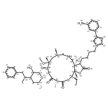 CC[C@H]1OC(=O)[C@H](C)C(=O)[C@H](C)[C@@H](O[C@@H]2O[C@H](C)CC(N(C)Cc3cccnc3)C2O)[C@](C)(OC)C[C@@H](C)CN[C@H](C)[C@H]2N(CCCCn3cc(-c4cccc(N)c4)nn3)C(=O)O[C@]12C